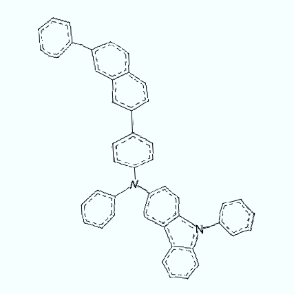 c1ccc(-c2ccc3ccc(-c4ccc(N(c5ccccc5)c5ccc6c(c5)c5ccccc5n6-c5ccccc5)cc4)cc3c2)cc1